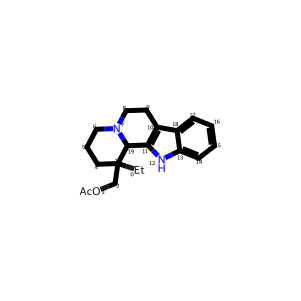 CCC1(COC(C)=O)CCCN2CCc3c([nH]c4ccccc34)C21